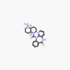 CN1CCC[C@@H]2[C@@H]1CCCN2C(=O)N1c2ccccc2C(=O)Nc2cccnc21